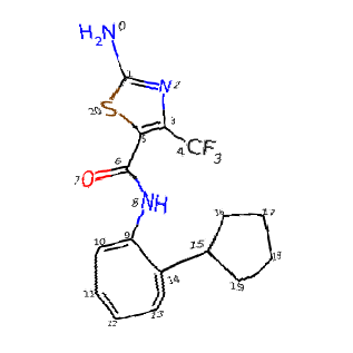 Nc1nc(C(F)(F)F)c(C(=O)Nc2ccccc2C2CCCC2)s1